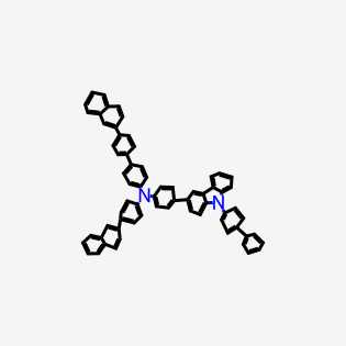 c1ccc(-c2ccc(-n3c4ccccc4c4cc(-c5ccc(N(c6ccc(-c7ccc(-c8ccc9ccccc9c8)cc7)cc6)c6ccc(-c7ccc8ccccc8c7)cc6)cc5)ccc43)cc2)cc1